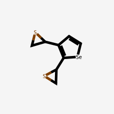 c1cc(C2CS2)c(C2CS2)[se]1